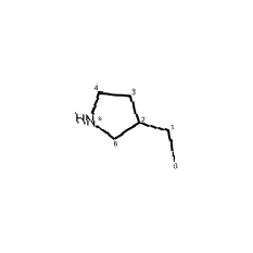 ICC1CCNC1